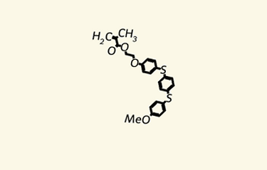 C=C(C)C(=O)OCCOc1ccc(Sc2ccc(Sc3ccc(OC)cc3)cc2)cc1